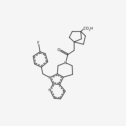 O=C(CC12CCC(C(=O)O)(CC1)C2)N1CCc2c(n(Cc3ccc(F)cc3)c3ncccc23)C1